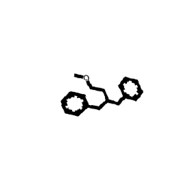 COCCC(Cc1ccccc1)Cc1ccccc1